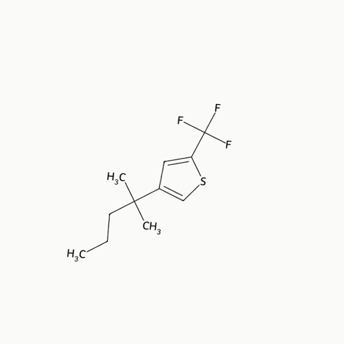 CCCC(C)(C)c1csc(C(F)(F)F)c1